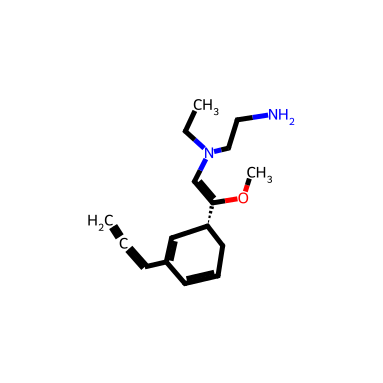 C=C=CC1=C[C@H](/C(=C/N(CC)CCN)OC)CC=C1